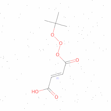 CC(C)(C)OOOC(=O)/C=C/C(=O)O